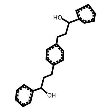 OC(CCc1ccc(CCC(O)c2ccccc2)cc1)c1ccccc1